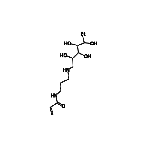 C=CC(=O)NCCCNCC(O)C(O)C(O)C(O)CC